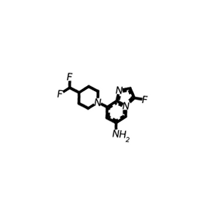 Nc1cc(N2CCC(C(F)F)CC2)c2ncc(F)n2c1